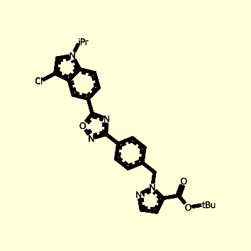 CC(C)n1cc(Cl)c2cc(-c3nc(-c4ccc(Cn5nccc5C(=O)OC(C)(C)C)cc4)no3)ccc21